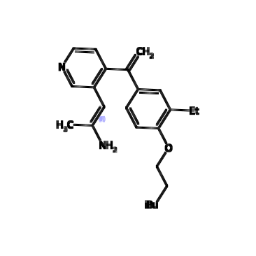 C=C(c1ccc(OCCC(C)CC)c(CC)c1)c1ccncc1/C=C(\C)N